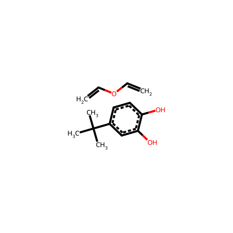 C=COC=C.CC(C)(C)c1ccc(O)c(O)c1